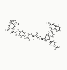 CC(=O)N1CCN(c2nc(NCCC(=O)N3CCN(Cc4ccc5c(c4)CN(C(=O)c4cc(C(C)C)c(O)cc4O)C5)CC3)nc3c2CCN(c2cc(O)cc4ccccc24)C3)CC1